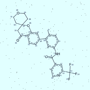 Cc1ccc(NC(=O)c2ccnc(C(F)(F)F)c2)cc1-c1ccc2c(c1)OC1(CCOCC1)CC2=O